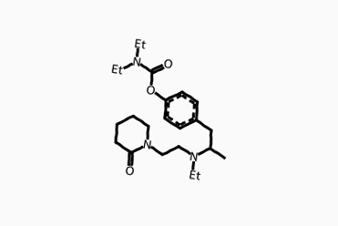 CCN(CC)C(=O)Oc1ccc(CC(C)N(CC)CCN2CCCCC2=O)cc1